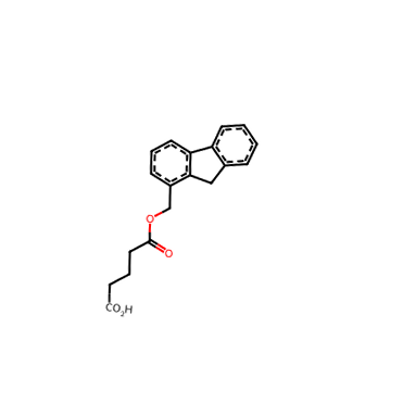 O=C(O)CCCC(=O)OCc1cccc2c1Cc1ccccc1-2